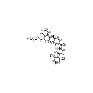 O=C(O)CCCCc1nc2cc(C(=O)N3CCN(c4c(Cl)cncc4Cl)CC3)ccc2nc1-c1ccccc1